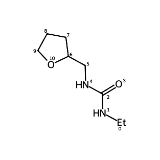 CCNC(=O)NCC1CCCO1